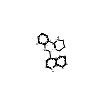 c1ccc(C2=NCCCN2)c(SCc2ccnc3ccccc23)c1